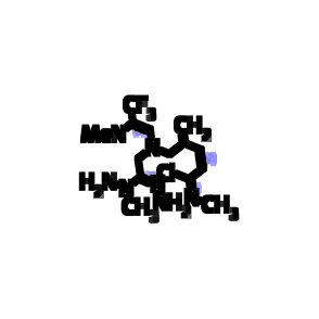 C=C(/C=C\C(Cl)=N/C)CN(/C=C(\NC)C(F)(F)F)C/C(=N/N)N(C)N